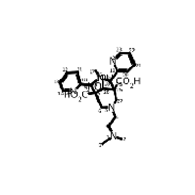 CN(C)CCN1CC2(C(=O)O)C(c3ccccn3)N(C)C(c3ccccn3)C(C(=O)O)(C1)C2(O)O